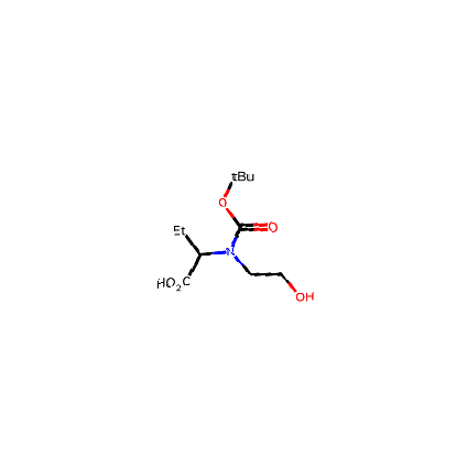 CCC(C(=O)O)N(CCO)C(=O)OC(C)(C)C